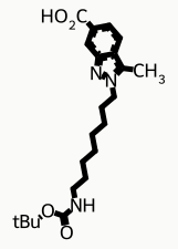 Cc1c2ccc(C(=O)O)cc2nn1CCCCCCCCNC(=O)OC(C)(C)C